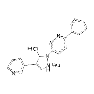 Cl.OC1C(c2cccnc2)=CNN1c1ccc(-c2ccccc2)nn1